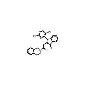 O=C(CN1C(=O)c2ccccc2C1c1nc(Cl)ncc1Cl)N1CCc2ccccc2C1